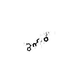 CCS(=O)(=O)Nc1cccc(Nc2nccc(-c3cnn(C(CC#N)C4CCCC4)c3)n2)c1